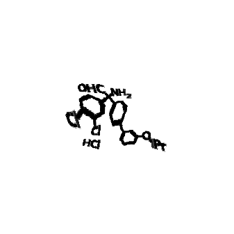 CC(C)Oc1cccc(-c2ccc(C(N)(C=O)c3ccc(Cl)c(Cl)c3)cc2)c1.Cl